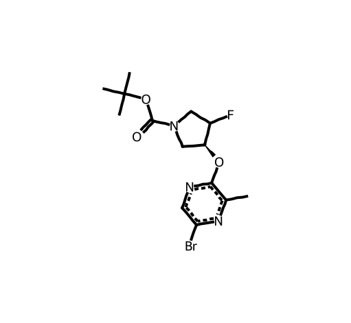 Cc1nc(Br)cnc1O[C@H]1CN(C(=O)OC(C)(C)C)CC1F